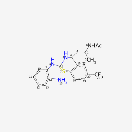 CC(=O)NC(C)CC(NC(=S)Nc1ccccc1N)c1cccc(C(F)(F)F)c1